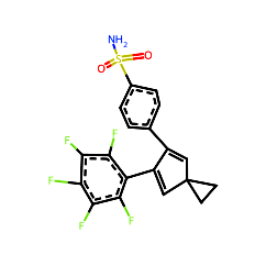 NS(=O)(=O)c1ccc(C2=CC3(C=C2c2c(F)c(F)c(F)c(F)c2F)CC3)cc1